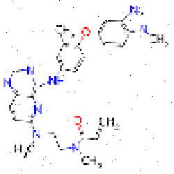 C=CC(=O)N(C)CCN(C)c1ccc2ncnc(Nc3ccc(Oc4ccc5c(c4)ncn5C)c(C)c3)c2n1